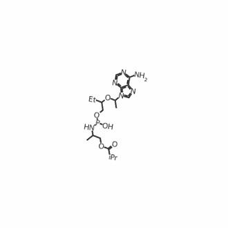 CCC(COP(O)NC(C)COC(=O)C(C)C)OC(C)n1cnc2c(N)ncnc21